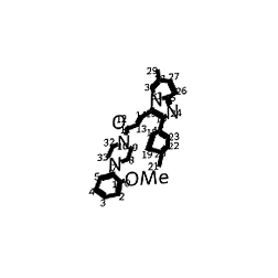 COc1ccccc1N1CCN(C(=O)C=Cc2c(-c3ccc(C)cc3)nc3ccc(C)cn23)CC1